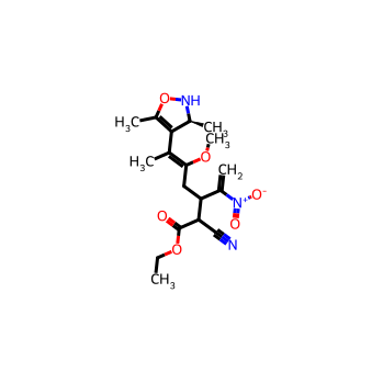 C=C(C(C/C(OC)=C(\C)C1=C(C)ON[C@H]1C)C(C#N)C(=O)OCC)[N+](=O)[O-]